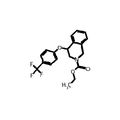 CCOC(=O)N1Cc2ccccc2C(Oc2ccc(C(F)(F)F)cc2)C1